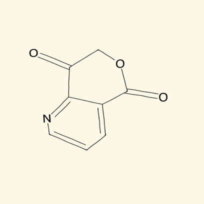 O=C1OCC(=O)c2ncccc21